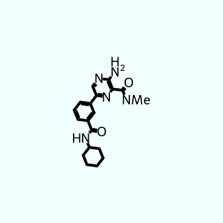 CNC(=O)c1nc(-c2cccc(C(=O)NC3CCCCC3)c2)cnc1N